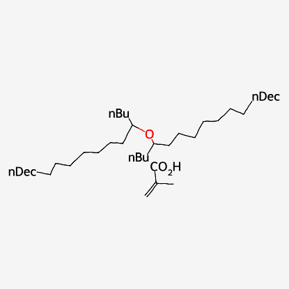 C=C(C)C(=O)O.CCCCCCCCCCCCCCCCCC(CCCC)OC(CCCC)CCCCCCCCCCCCCCCCC